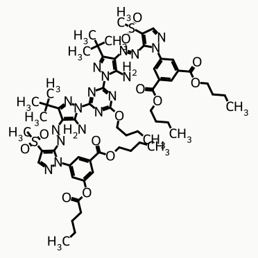 CCCCOC(=O)c1cc(OC(=O)CCCC)cc(-n2ncc(S(C)(=O)=O)c2N=Nc2c(C(C)(C)C)nn(-c3nc(OCCCC)nc(-n4nc(C(C)(C)C)c(N=Nc5c(S(C)(=O)=O)cnn5-c5cc(C(=O)OCCCC)cc(C(=O)OCCCC)c5)c4N)n3)c2N)c1